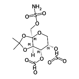 CC1(C)O[C@@H]2[C@@H](O[SH](=O)=O)[C@@H](O[SH](=O)=O)CO[C@]2(COS(N)(=O)=O)O1